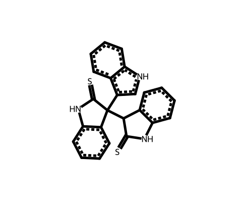 S=C1Nc2ccccc2C1C1(c2c[nH]c3ccccc23)C(=S)Nc2ccccc21